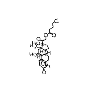 C[C@]12C=CC(=O)C=C1CC[C@@H]1[C@@H]2[C@@H](O)C[C@@]2(C)[C@H]1CC[C@]2(O)C(=O)COC(=O)CCCCl